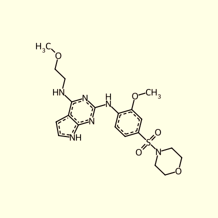 COCCNc1nc(Nc2ccc(S(=O)(=O)N3CCOCC3)cc2OC)nc2[nH]ccc12